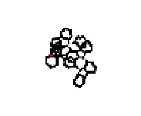 c1ccc(-c2ccc(-n3c4ccccc4c4cccc(-n5c6ccccc6c6c([Si](c7ccccc7)(c7ccccc7)c7ccccc7)c(-n7c8ccccc8c8ccccc87)ccc65)c43)cc2)cc1